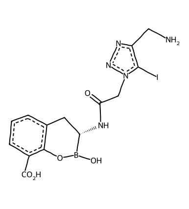 NCc1nnn(CC(=O)N[C@H]2Cc3cccc(C(=O)O)c3OB2O)c1I